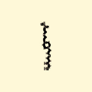 CC(C)(C)NCCOCCN1CCN(CCOCCNCS)CC1